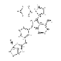 Nc1ncnn2c(-c3cccc(CN4CC5CC[C@@H](C4)O5)c3)cc(-c3ccnn3C3CCOCC3)c12